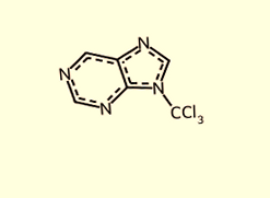 ClC(Cl)(Cl)n1cnc2cncnc21